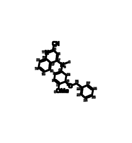 COC1=CC=C(N(C)c2cc(C#N)nc3ccccc23)CC1OCc1ccccc1